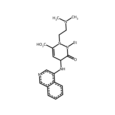 CCN1C(=O)C(Nc2cncc3ccccc23)C=C(C(=O)O)N1CCN(C)C